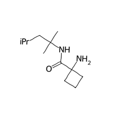 CC(C)CC(C)(C)NC(=O)C1(N)CCC1